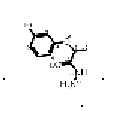 CC(Oc1cccc(F)c1)C(=O)NN